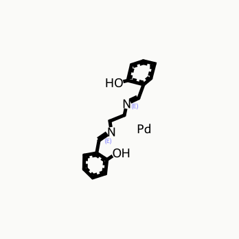 Oc1ccccc1/C=N/CC/N=C/c1ccccc1O.[Pd]